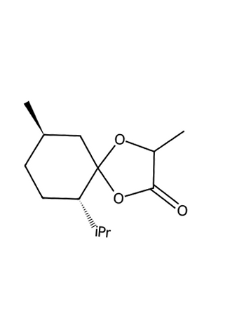 CC1OC2(C[C@H](C)CC[C@H]2C(C)C)OC1=O